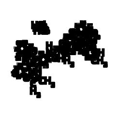 CNC(C)C(=O)NC(C(=O)N1Cc2ccc(NC(=O)CNC(=O)[C@@]3(C)CN(C(=O)CN4C[C@@H](C)NC[C@@H]4CN4CCOC[C@H]4C)c4cc(Cc5ccc(F)cc5)ccc43)cc2[C@H]1C(=O)Nc1c(F)cccc1F)C1CCOCC1.Cl.Cl.Cl